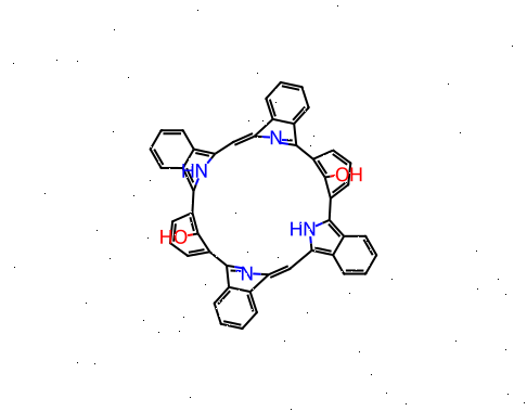 Oc1c2cccc1c1[nH]c(cc3nc(c4cccc(c4O)c4[nH]c(cc5nc2-c2ccccc2-5)c2ccccc24)-c2ccccc2-3)c2ccccc21